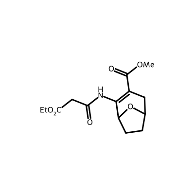 CCOC(=O)CC(=O)NC1=C(C(=O)OC)CC2CCC1O2